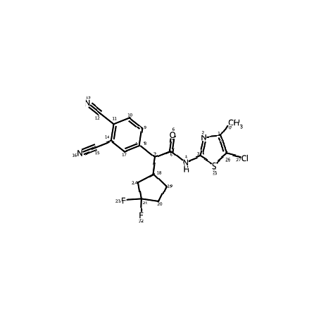 Cc1nc(NC(=O)C(c2ccc(C#N)c(C#N)c2)C2CCC(F)(F)C2)sc1Cl